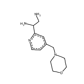 NCC(N)c1cc(CN2CCOCC2)ccn1